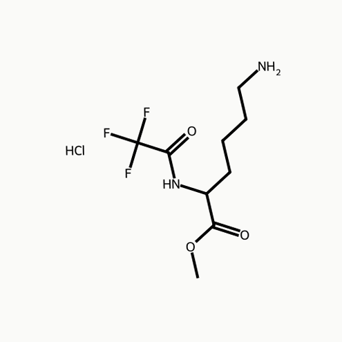 COC(=O)C(CCCCN)NC(=O)C(F)(F)F.Cl